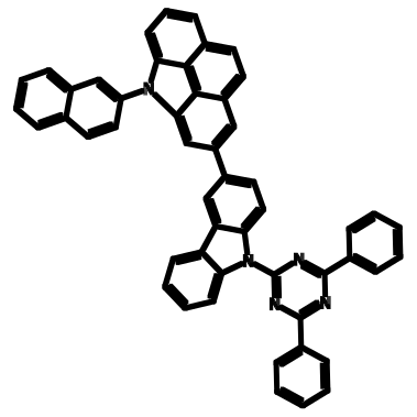 c1ccc(-c2nc(-c3ccccc3)nc(-n3c4ccccc4c4cc(-c5cc6ccc7cccc8c7c6c(c5)n8-c5ccc6ccccc6c5)ccc43)n2)cc1